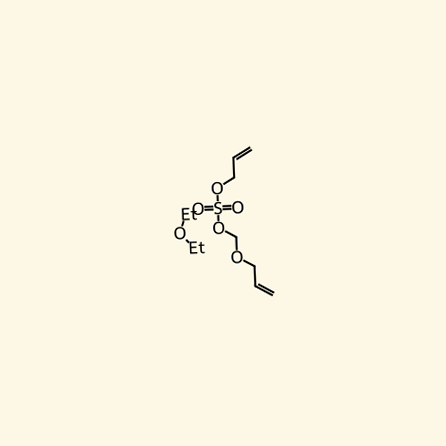 C=CCOCOS(=O)(=O)OCC=C.CCOCC